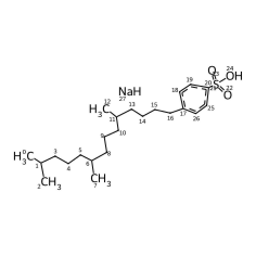 CC(C)CCCC(C)CCCC(C)CCCCc1ccc(S(=O)(=O)O)cc1.[NaH]